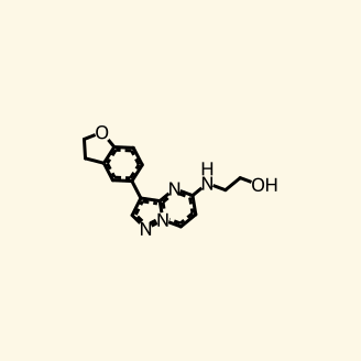 OCCNc1ccn2ncc(-c3ccc4c(c3)CCO4)c2n1